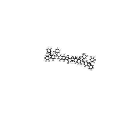 Cc1ccccc1N(c1ccc2cc3c(cc2c1)oc1c3ccc2c3cc4ccc(N(c5ccc6c7ccccc7n(-c7ccccc7)c6c5)c5ccccc5C)cc4cc3oc21)c1ccc2c3ccccc3n(-c3ccccc3)c2c1